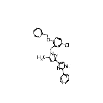 Cc1cc(-c2c[nH]c(-c3cnccn3)n2)nn1Cc1cc(Cl)ccc1OCc1ccccc1